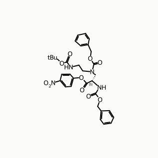 CC(C)(C)OC(=O)NCCN(C[C@H](NC(=O)OCc1ccccc1)C(=O)Oc1ccc([N+](=O)[O-])cc1)C(=O)OCc1ccccc1